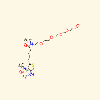 CN[C@H]1CS[C@@H](CCCCC(=O)N(C)CCOCCOCCOCCOCCC=O)[C@H]1N(C)C=O